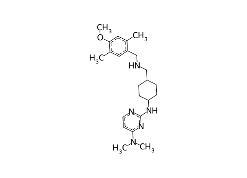 COc1cc(C)c(CNCC2CCC(Nc3nccc(N(C)C)n3)CC2)cc1C